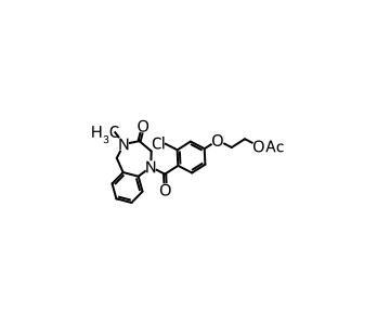 CC(=O)OCCOc1ccc(C(=O)N2CC(=O)N(C)Cc3ccccc32)c(Cl)c1